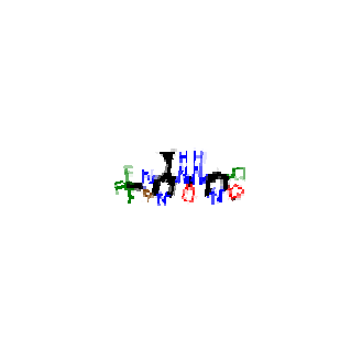 COc1ncc(NC(=O)Nc2cnc3sc(C(F)(F)F)nc3c2C2CC2)cc1Cl